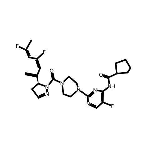 C=C(/C=C(F)\C=C(/C)F)[C@@H]1CC=NN1C(=O)N1CCN(c2ncc(F)c(NC(=O)C3CCCC3)n2)CC1